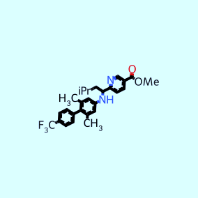 COC(=O)c1ccc(C(CC(C)C)Nc2cc(C)c(-c3ccc(C(F)(F)F)cc3)c(C)c2)nc1